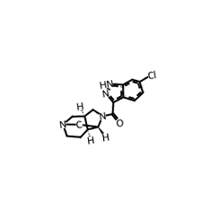 O=C(c1n[nH]c2cc(Cl)ccc12)N1C[C@@H]2CN3CC[C@@H]2[C@@H]1C3